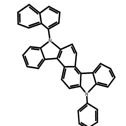 c1ccc(-n2c3ccccc3c3c4ccc5c(c4ccc32)c2ccccc2n5-c2cccc3ccccc23)cc1